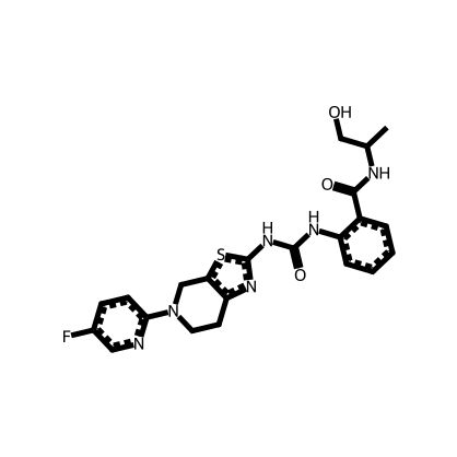 CC(CO)NC(=O)c1ccccc1NC(=O)Nc1nc2c(s1)CN(c1ccc(F)cn1)CC2